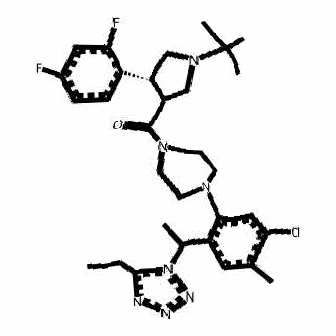 CCc1nnnn1C(C)c1cc(C)c(Cl)cc1N1CCN(C(=O)C2CN(C(C)(C)C)C[C@H]2c2ccc(F)cc2F)CC1